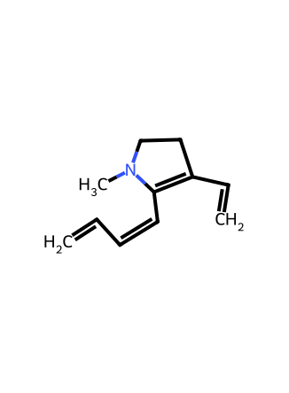 C=C/C=C\C1=C(C=C)CCN1C